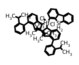 CC(C)C1=Cc2c(-c3ccccc3C(C)C)cccc2[CH]1[Hf]([Cl])([Cl])([c]1cccc2c1[SiH2]c1ccccc1-2)[CH]1C(C(C)C)=Cc2c(-c3ccccc3C(C)C)cccc21